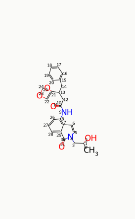 CC(O)Cn1ccc2c(NC(=O)CC(Cc3ccccc3)C3=COCO3)cccc2c1=O